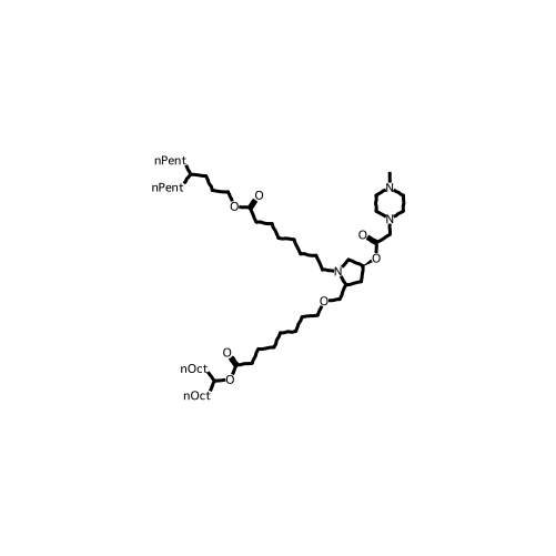 CCCCCCCCC(CCCCCCCC)OC(=O)CCCCCCCOCC1C[C@H](OC(=O)CN2CCN(C)CC2)CN1CCCCCCCC(=O)OCCCC(CCCCC)CCCCC